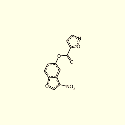 O=C(Oc1ccc2occ([N+](=O)[O-])c2c1)c1ccno1